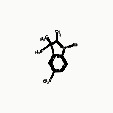 CC[N+]1=C(C)C(C)(C)c2cc([N+](=O)[O-])ccc21